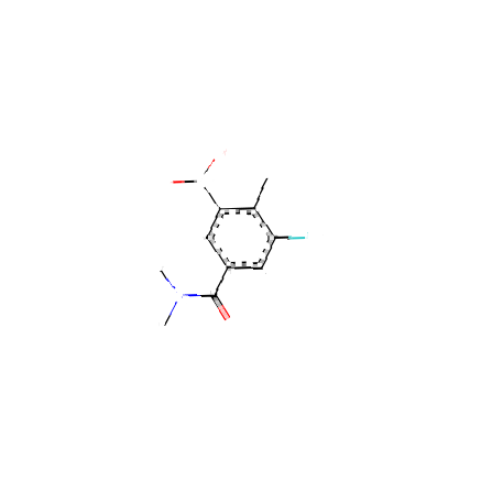 Cc1c(F)cc(C(=O)N(C)C)cc1B(O)O